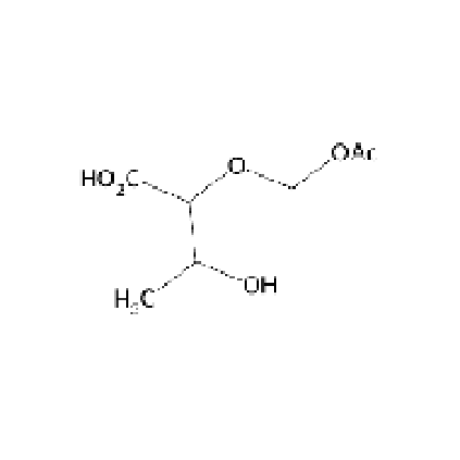 CC(=O)OCOC(C(=O)O)C(C)O